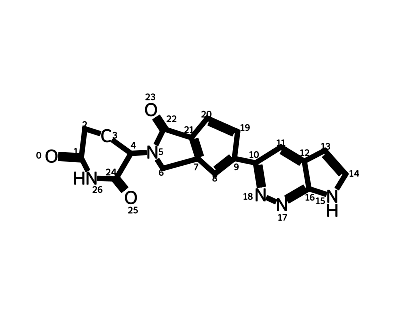 O=C1CCC(N2Cc3cc(-c4cc5cc[nH]c5nn4)ccc3C2=O)C(=O)N1